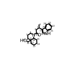 CC(CC(=O)N1CCCC2(CO)CCCCC12)c1c[nH]c2ccccc12